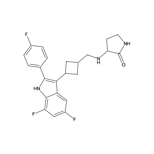 O=C1NCCC1NCC1CC(c2c(-c3ccc(F)cc3)[nH]c3c(F)cc(F)cc23)C1